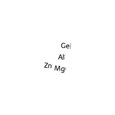 [Al].[Ge].[Mg].[Zn]